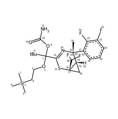 CC(C)(C)C(OCC[Si](C)(C)C)(OC(N)=O)C1=N[C@](C)(c2cccc(F)c2F)[C@@H]2C[C@]2(C(F)F)S1